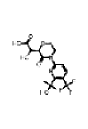 CC(C)(O)c1nc(N2CCO[C@H](C(O)C(=O)O)C2=O)ccc1C(F)(F)F